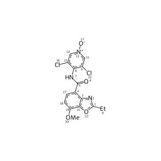 CCc1nc2c(C(=O)Nc3c(Cl)c[n+]([O-])cc3Cl)ccc(OC)c2o1